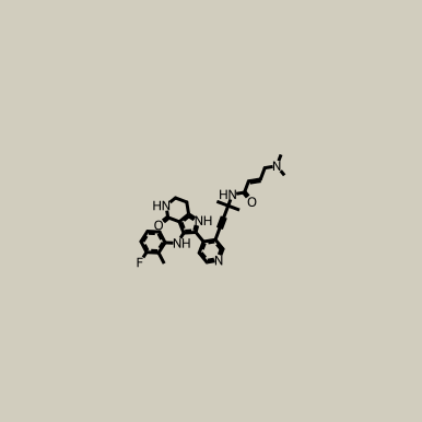 Cc1c(F)cccc1Nc1c(-c2ccncc2C#CC(C)(C)NC(=O)/C=C/CN(C)C)[nH]c2c1C(=O)NCC2